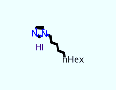 CCCCCCCCCCCn1ccnc1.I